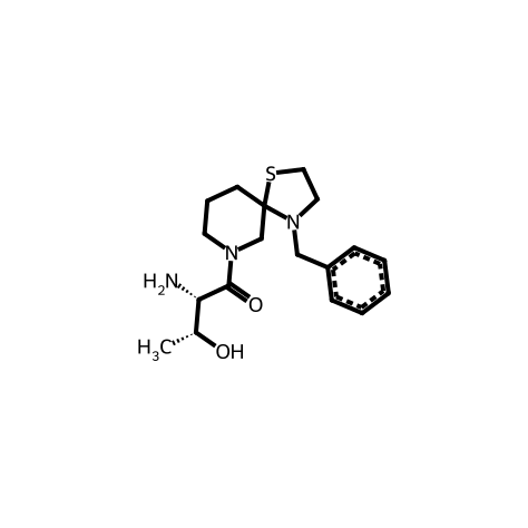 C[C@@H](O)[C@H](N)C(=O)N1CCCC2(C1)SCCN2Cc1ccccc1